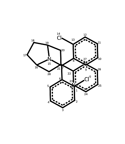 Clc1ccccc1C(c1ccccc1Cl)N1C2CCC1CC(c1ncccn1)C2